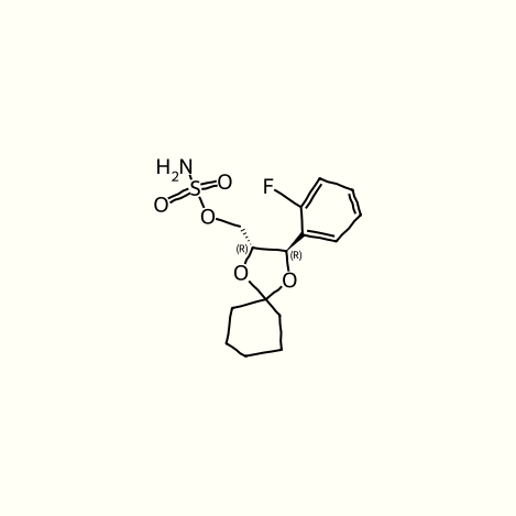 NS(=O)(=O)OC[C@H]1OC2(CCCCC2)O[C@@H]1c1ccccc1F